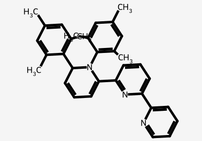 Cc1cc(C)c(C2C=CC=C(c3cccc(-c4ccccn4)n3)N2c2c(C)cc(C)cc2C)c(C)c1